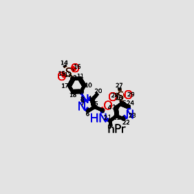 CCCC(NC(=O)c1cnn(-c2ccc(S(C)(=O)=O)cc2)c1C)c1cncc(S(C)(=O)=O)c1